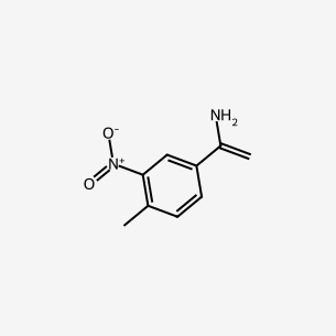 C=C(N)c1ccc(C)c([N+](=O)[O-])c1